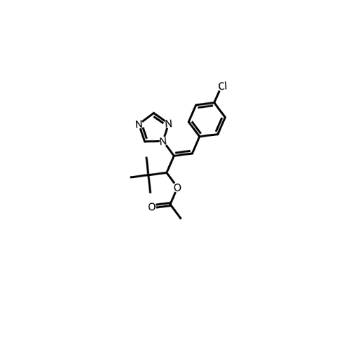 CC(=O)OC(C(=Cc1ccc(Cl)cc1)n1cncn1)C(C)(C)C